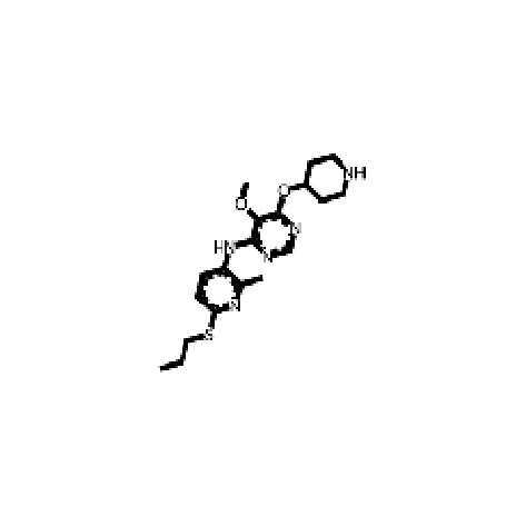 CCCSc1ccc(Nc2ncnc(OC3CCNCC3)c2OC)c(C)n1